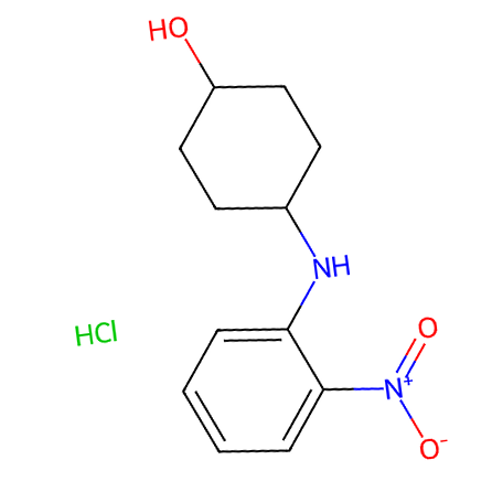 Cl.O=[N+]([O-])c1ccccc1NC1CCC(O)CC1